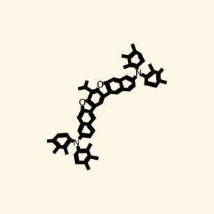 Cc1ccc(N(c2ccc3cc4c(cc3c2)oc2c(C(C)C)c3oc5cc6cc(N(c7ccc(C)c(C)c7C)c7ccc(C)c(C)c7C)ccc6cc5c3cc24)c2ccc(C)c(C)c2C)c(C)c1C